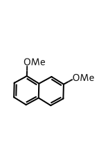 COc1ccc2cccc(OC)c2c1